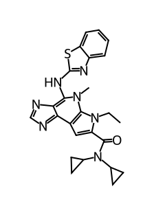 CCn1c(C(=O)N(C2CC2)C2CC2)cc2c3ncnc-3c(Nc3nc4ccccc4s3)n(C)c21